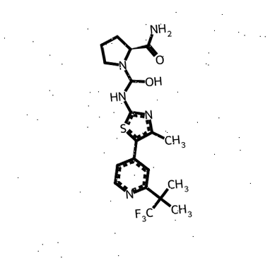 Cc1nc(NC(O)N2CCC[C@H]2C(N)=O)sc1-c1ccnc(C(C)(C)C(F)(F)F)c1